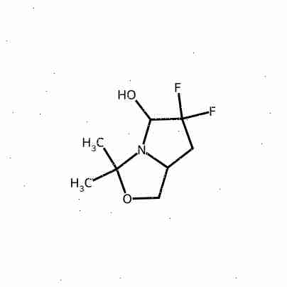 CC1(C)OCC2CC(F)(F)C(O)N21